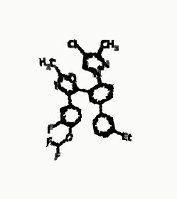 CCc1cccc(-c2ccc(-n3cc(Cl)c(C)n3)c(-c3oc(C)nc3-c3ccc(OC(F)F)c(F)c3)c2)c1